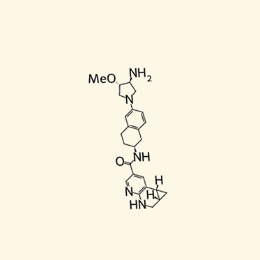 CO[C@H]1CN(c2ccc3c(c2)CC[C@H](NC(=O)c2cnc4c(c2)[C@@H]2C[C@@H]2CN4)C3)C[C@@H]1N